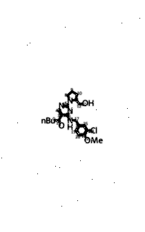 CCCCC(=O)c1cnc(N2CCCC2CO)nc1NCc1ccc(OC)c(Cl)c1